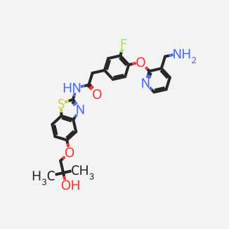 CC(C)(O)COc1ccc2sc(NC(=O)Cc3ccc(Oc4ncccc4CN)c(F)c3)nc2c1